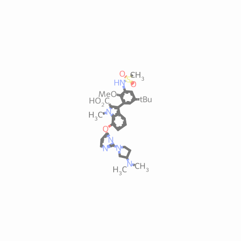 COc1c(NS(C)(=O)=O)cc(C(C)(C)C)cc1-c1c(C(=O)O)n(C)c2c(Oc3ccnc(N4CCC(N(C)C)C4)n3)cccc12